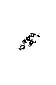 CC(=O)NCC1CCN(Cc2cc(Oc3cnc(N4CCCN(C(=O)O)CC4)nc3)nc(-c3cc(Cl)cc(Cl)c3)c2)CC1